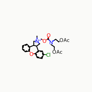 CC(=O)OCCN(CCOC(C)=O)C(=O)OC[N+]1(C)CC2c3ccccc3Oc3ccc(Cl)cc3C2C1